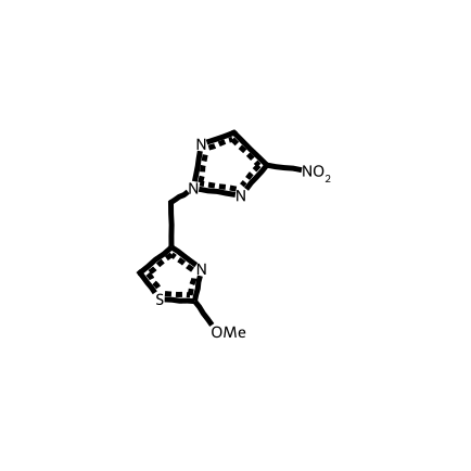 COc1nc(Cn2ncc([N+](=O)[O-])n2)cs1